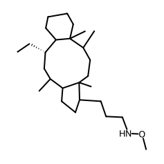 CC[C@H]1CC(C)C2CCC(CCCNOC)C2(C)CCC(C)C2(C)CCCCC12